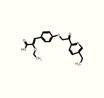 CCO/C(=C\c1ccc(OCC(=O)c2ccc(CC)cn2)cc1)C(=O)O